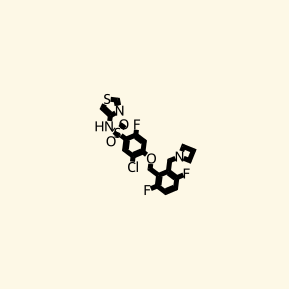 O=S(=O)(Nc1cscn1)c1cc(Cl)c(OCc2c(F)ccc(F)c2CN2CCC2)cc1F